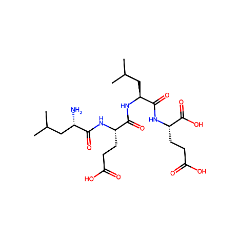 CC(C)C[C@H](NC(=O)[C@H](CCC(=O)O)NC(=O)[C@@H](N)CC(C)C)C(=O)N[C@@H](CCC(=O)O)C(=O)O